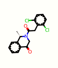 C[C@H]1c2ccccc2C(=O)CN1C(=O)Cc1c(Cl)cccc1Cl